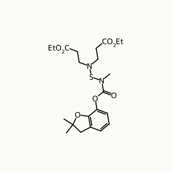 CCOC(=O)CCN(CCC(=O)OCC)SN(C)C(=O)Oc1cccc2c1OC(C)(C)C2